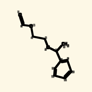 CC(OCCOC=O)c1ccccc1